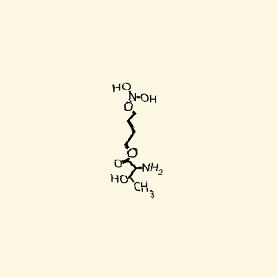 CC(O)C(N)C(=O)OCCCCON(O)O